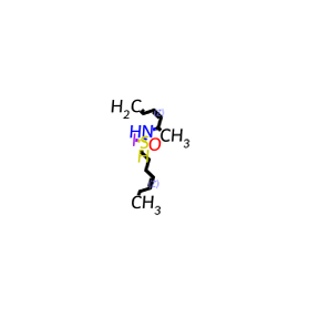 C=C/C=C\C(C)N[SH](=O)(I)CCC/C=C\CC